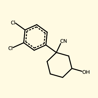 N#CC1(c2ccc(Cl)c(Cl)c2)CCCC(O)C1